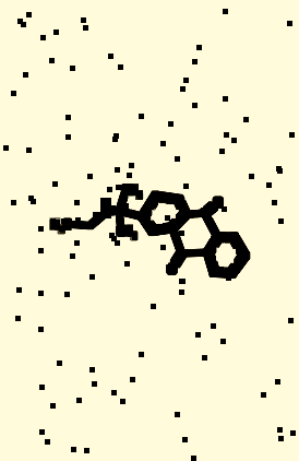 CCNC(C)(C)c1ccc2c(c1)C(=O)c1ccccc1C2=O